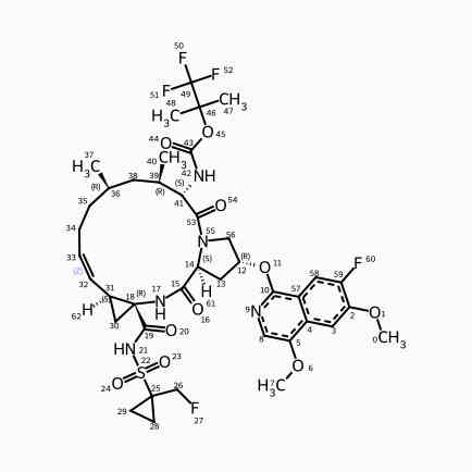 COc1cc2c(OC)cnc(O[C@@H]3C[C@H]4C(=O)N[C@]5(C(=O)NS(=O)(=O)C6(CF)CC6)C[C@H]5/C=C\CC[C@@H](C)C[C@@H](C)[C@H](NC(=O)OC(C)(C)C(F)(F)F)C(=O)N4C3)c2cc1F